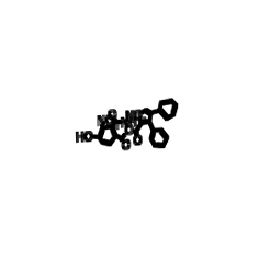 NNC(=O)c1c(C(=O)OC(=O)c2occ(-c3ccccc3)c2-c2ccccc2)ccc(O)c1[N+](=O)[O-]